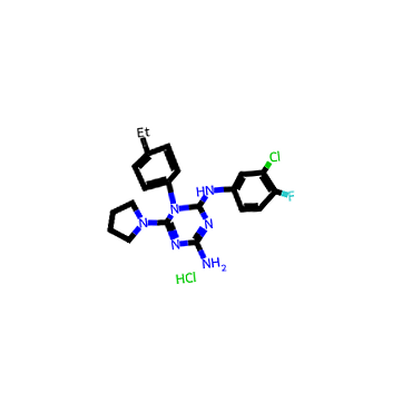 CCc1ccc(N2C(N3CCCC3)=NC(N)=NC2Nc2ccc(F)c(Cl)c2)cc1.Cl